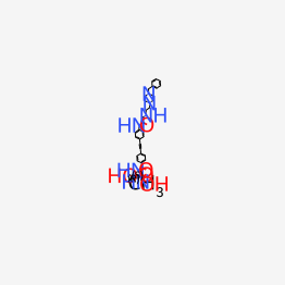 C[C@@H](O)[C@H](NC(=O)c1ccc(C#Cc2ccc(NC(=O)CNCCN3CCN(Cc4ccccc4)CC3)cc2)cc1)C(=O)NO